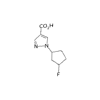 O=C(O)c1cnn(C2CCC(F)C2)c1